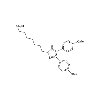 CCOC(=O)CCCCCCCc1nc(-c2ccc(OC)cc2)c(-c2ccc(OC)cc2)[nH]1